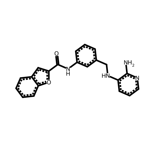 Nc1ncccc1NCc1cccc(NC(=O)c2cc3ccccc3o2)c1